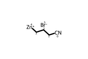 N#CCC[CH2][Zn+].[Br-]